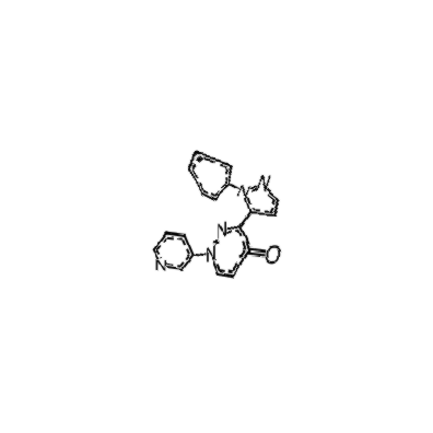 O=c1ccn(-c2cccnc2)nc1-c1ccnn1-c1ccccc1